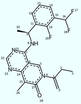 C=C(CC)n1cc2c(N[C@@H](C)c3cccc(C(F)F)c3F)ncnc2c(C)c1=O